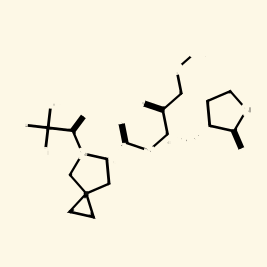 BC(B)(CCCC)C(=O)N1CC2(CC2)C[C@H]1C(=O)N[C@@H](C[C@@H]1CCNC1=O)C(=O)COC(F)(F)F